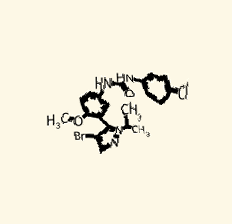 COc1ccc(NC(=O)Nc2ccc(Cl)cc2)cc1-c1c(Br)cnn1C(C)C